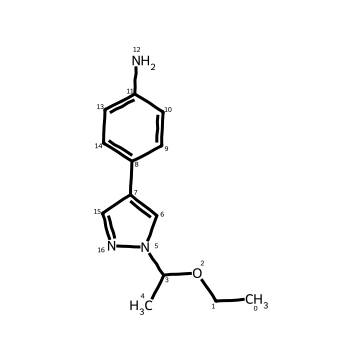 CCOC(C)n1cc(-c2ccc(N)cc2)cn1